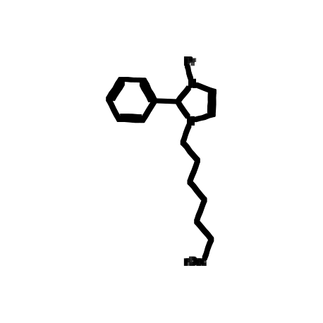 CCCCCCCCCCCCCCCCN1C=CN(C(C)C)C1c1ccccc1